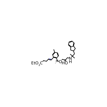 CCOC(=O)CC/C=C/c1cc(C)ccc1[C@@H](C)OC[C@H](O)CNC(C)(C)CC1Cc2ccccc2C1